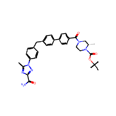 Cc1nc(C(N)=O)nn1-c1ccc(Cc2ccc(-c3ccc(C(=O)N4CCN(C(=O)OC(C)(C)C)[C@@H](C)C4)cc3)cc2)cc1